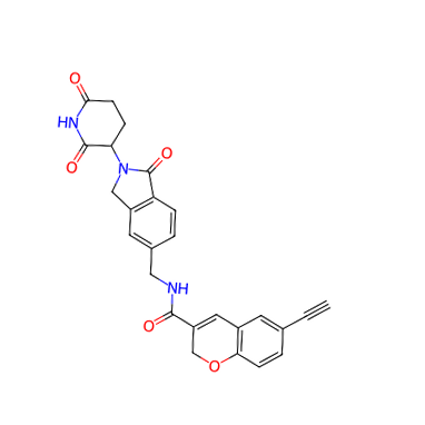 C#Cc1ccc2c(c1)C=C(C(=O)NCc1ccc3c(c1)CN(C1CCC(=O)NC1=O)C3=O)CO2